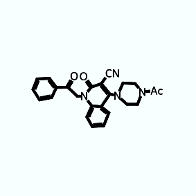 CC(=O)N1CCN(c2c(C#N)c(=O)n(CC(=O)c3ccccc3)c3ccccc23)CC1